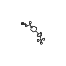 CC(C)(C)OC(=O)N1CCC(c2ncc(S(=O)(=O)Cl)s2)CC1